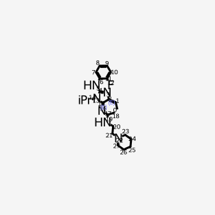 C/C=C1/N=C(Nc2ccccc2F)N(C(C)C)/C1=N/C(C)NCCN1CCCCC1